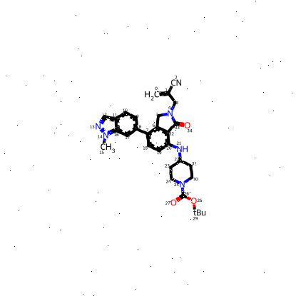 C=C(C#N)CN1Cc2c(-c3ccc4cnn(C)c4c3)ccc(NC3CCN(C(=O)OC(C)(C)C)CC3)c2C1=O